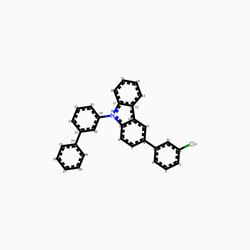 Clc1cccc(-c2ccc3c(c2)c2ccccc2n3-c2cccc(-c3ccccc3)c2)c1